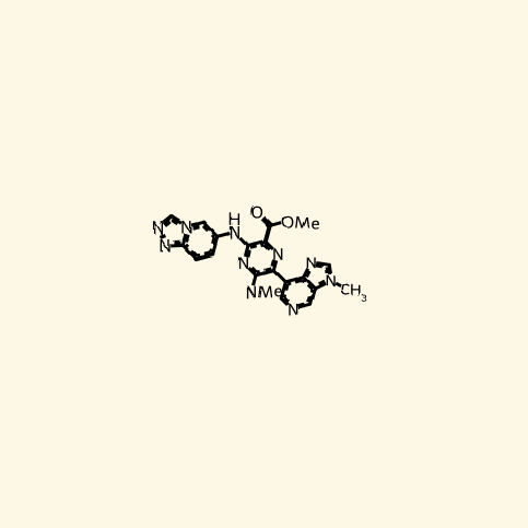 CNc1nc(Nc2ccc3nncn3c2)c(C(=O)OC)nc1-c1cncc2c1ncn2C